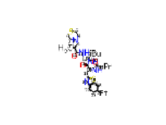 C=C(CN1CCSCC1)C(=O)NC[C@@H](NC(=O)[C@H](Cc1nc2ccc(CC)cc2s1)NC(=O)CCC)[C@@H](C)CC